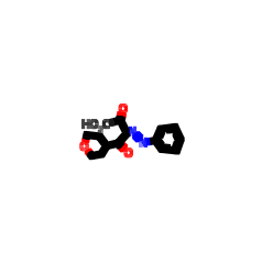 O=C(O)C(=O)C(/N=N/c1ccccc1)C(=O)C1CCOCC1